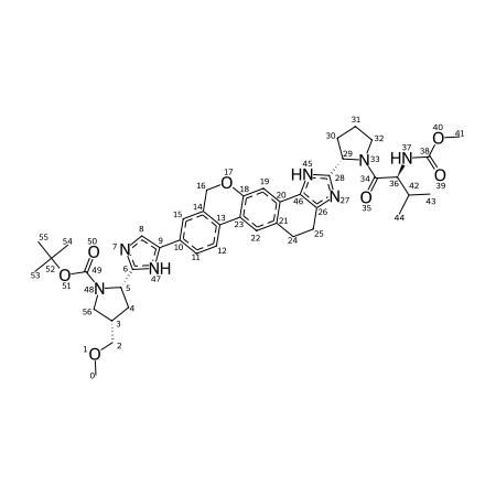 COC[C@H]1C[C@@H](c2ncc(-c3ccc4c(c3)COc3cc5c(cc3-4)CCc3nc([C@@H]4CCCN4C(=O)[C@@H](NC(=O)OC)C(C)C)[nH]c3-5)[nH]2)N(C(=O)OC(C)(C)C)C1